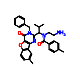 Cc1ccc(C(=O)N(CCN)C(c2nc3c(oc4ccc(C)cc43)c(=O)n2Cc2ccccc2)C(C)C)cc1